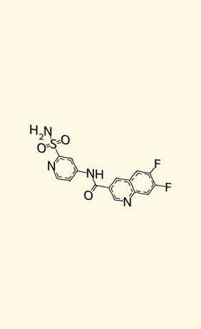 NS(=O)(=O)c1cc(NC(=O)c2cnc3cc(F)c(F)cc3c2)ccn1